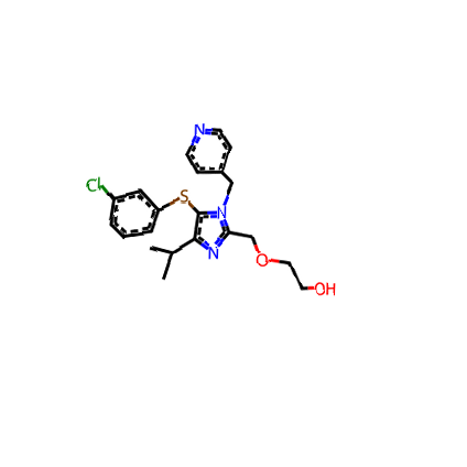 CC(C)c1nc(COCCO)n(Cc2ccncc2)c1Sc1cccc(Cl)c1